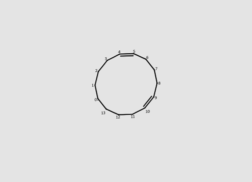 [CH]1CCCC=CCCCC=CCCC1